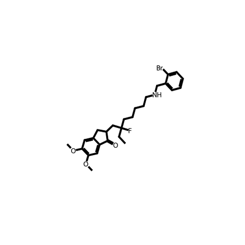 CCC(F)(CCCCCNCc1ccccc1Br)CC1Cc2cc(OC)c(OC)cc2C1=O